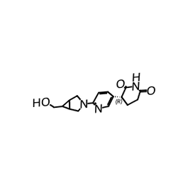 O=C1CC[C@H](c2ccc(N3CC4C(CO)C4C3)nc2)C(=O)N1